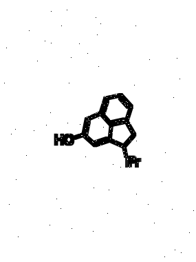 CC(C)C1Cc2cccc3cc(O)cc1c23